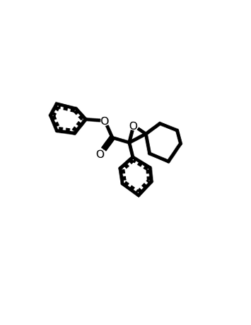 O=C(Oc1ccccc1)C1(c2ccccc2)OC12CCCCC2